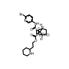 Cl.O=C(OCCC1CCCCN1)[C@H]1[C@H](C(=O)Nc2ccc(Br)nc2)[C@@H]2CC[C@H]1C21CC1